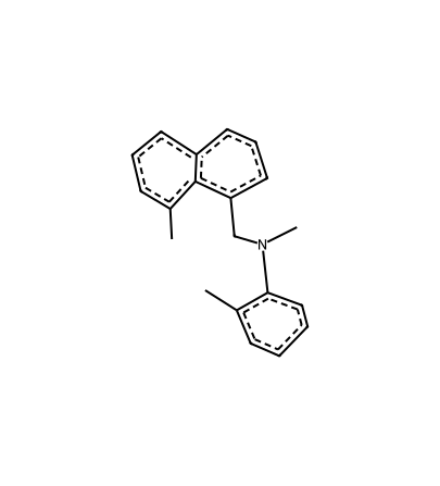 Cc1ccccc1N(C)Cc1cccc2cccc(C)c12